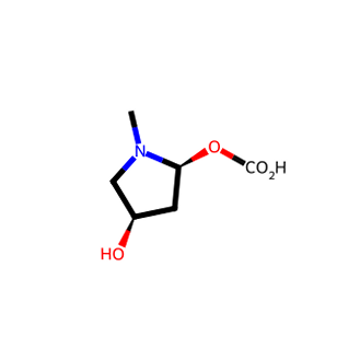 CN1C[C@H](O)C[C@@H]1OC(=O)O